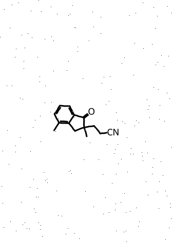 Cc1cccc2c1CC(C)(CCC#N)C2=O